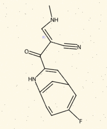 CN/C=C(\C#N)C(=O)C1=CC2C=C(F)C=CC(=C2)N1